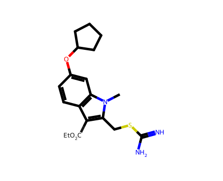 CCOC(=O)c1c(CSC(=N)N)n(C)c2cc(OC3CCCC3)ccc12